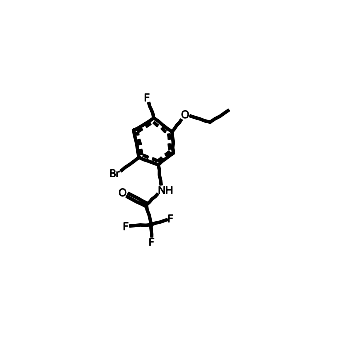 CCOc1cc(NC(=O)C(F)(F)F)c(Br)cc1F